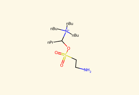 CCCC[N+](CCCC)(CCCC)C(CCC)OS(=O)(=O)CCN